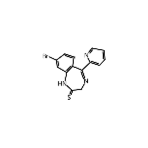 S=C1CN=C(c2ccccn2)c2ccc(Br)cc2N1